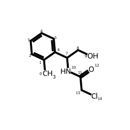 Cc1ccccc1C(CO)NC(=O)CCl